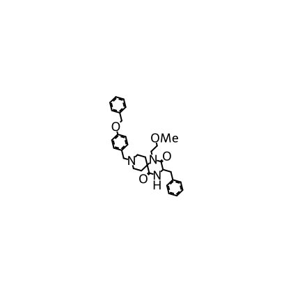 COCCN1C(=O)C(Cc2ccccc2)NC(=O)C12CCN(Cc1ccc(OCc3ccccc3)cc1)CC2